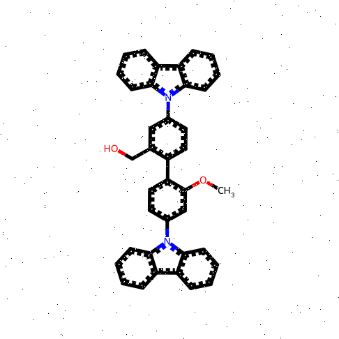 COc1cc(-n2c3ccccc3c3ccccc32)ccc1-c1ccc(-n2c3ccccc3c3ccccc32)cc1CO